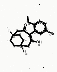 CCc1ccc(Br)cc1/C1=C(\O)C[C@H]2CC[C@H](CC2)CC1=O